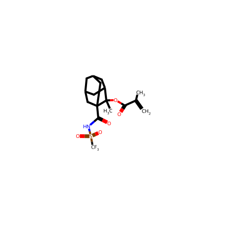 C=C(C)C(=O)OC1(C)C2CC3CC(C2)CC1(C(=O)NS(=O)(=O)C(F)(F)F)C3